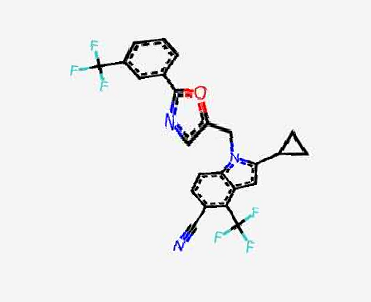 N#Cc1ccc2c(cc(C3CC3)n2Cc2cnc(-c3cccc(C(F)(F)F)c3)o2)c1C(F)(F)F